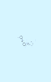 O=C(Nc1ccc(F)c(Cl)c1)c1ccc(F)c(S(=O)(=O)N2CC(O)CCC(F)C2)c1